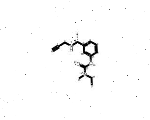 C#CCN[C@H](C)c1cccc(OC(=O)N(C)CC)c1